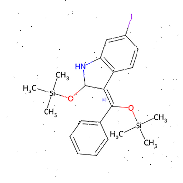 C[Si](C)(C)O/C(=C1\c2ccc(I)cc2NC1O[Si](C)(C)C)c1ccccc1